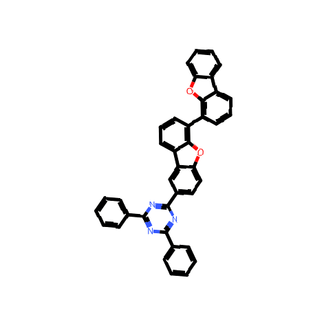 c1ccc(-c2nc(-c3ccccc3)nc(-c3ccc4oc5c(-c6cccc7c6oc6ccccc67)cccc5c4c3)n2)cc1